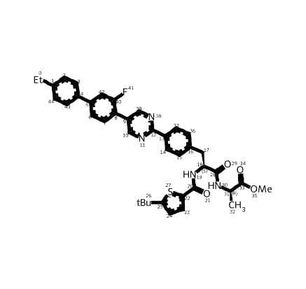 CCc1ccc(-c2ccc(-c3cnc(-c4ccc(C[C@H](NC(=O)c5ccc(C(C)(C)C)s5)C(=O)N[C@H](C)C(=O)OC)cc4)nc3)c(F)c2)cc1